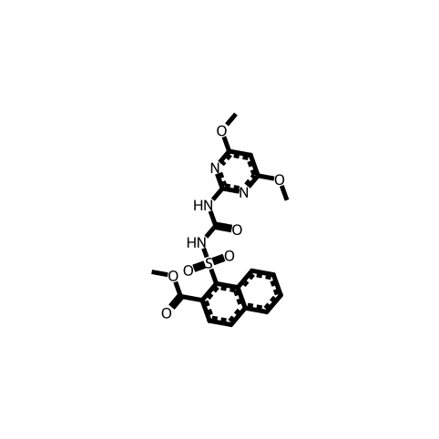 COC(=O)c1ccc2ccccc2c1S(=O)(=O)NC(=O)Nc1nc(OC)cc(OC)n1